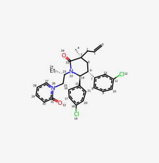 C=CC[C@@]1(C)C[C@H](c2cccc(Cl)c2)[C@@H](c2ccc(Cl)cc2)N([C@@H](CC)Cn2ccccc2=O)C1=O